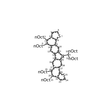 CCCCCCCCc1c(CCCCCCCC)c2ccsc2c2cc3c(cc12)c1cc2c(CCCCCCCC)c(CCCCCCCC)c4ccsc4c2cc1n3C(CCCCCCCC)CCCCCCCC